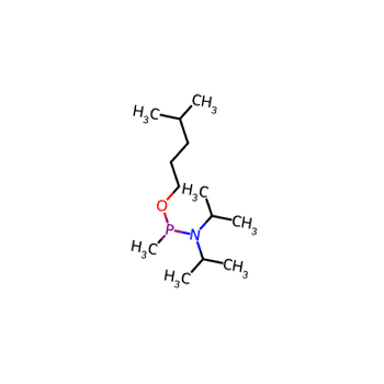 CC(C)CCCOP(C)N(C(C)C)C(C)C